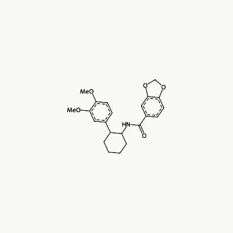 COc1ccc(C2CCCCC2NC(=O)c2ccc3c(c2)OCO3)cc1OC